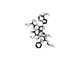 CCOC(=O)[C@H](C)NP(=O)(Oc1ccccc1)OC1[C@@]2(C#N)O[C@@H](c3ccc4c(N)ncnn34)[C@H](OC(=O)C(C)C)[C@@]12OC(=O)C(C)C